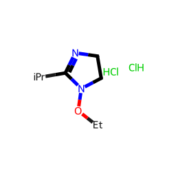 CCON1CCN=C1C(C)C.Cl.Cl